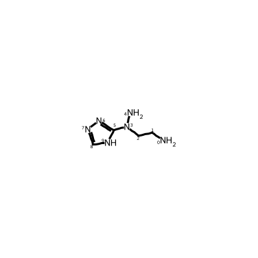 NCCN(N)c1nnc[nH]1